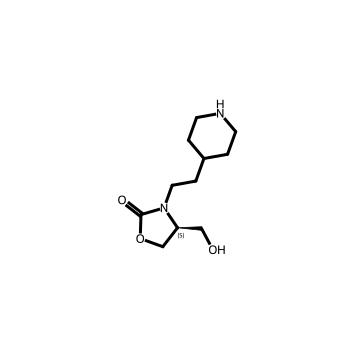 O=C1OC[C@H](CO)N1CCC1CCNCC1